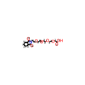 O=C(O)COCCOCCOCCOCCN1C(=O)c2ccccc2C1=O